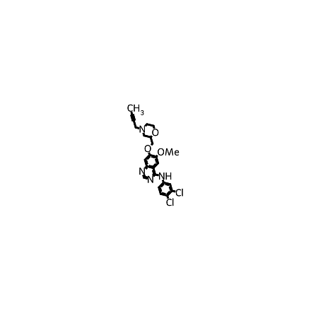 CC#CCN1CCOC(COc2cc3ncnc(Nc4ccc(Cl)c(Cl)c4)c3cc2OC)C1